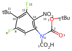 CC(C)(C)OC(=O)N(C(=O)O)c1cc(F)c(C(C)(C)C)c(F)c1[N+](=O)[O-]